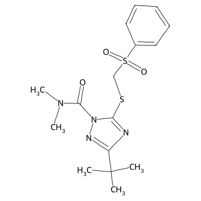 CN(C)C(=O)n1nc(C(C)(C)C)nc1SCS(=O)(=O)c1ccccc1